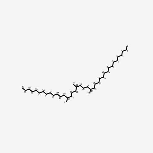 CCCCCCCCCCCCCCCCC(C)CCCC(C)CCCC(C)CCCCCCCCCCCCC